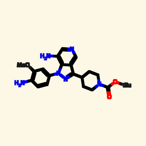 COc1cc(-n2nc(C3CCN(C(=O)OC(C)(C)C)CC3)c3cncc(N)c32)ccc1N